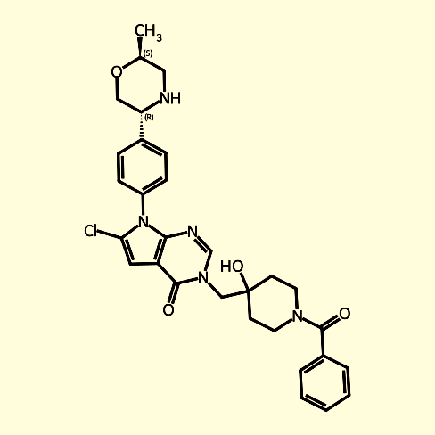 C[C@H]1CN[C@H](c2ccc(-n3c(Cl)cc4c(=O)n(CC5(O)CCN(C(=O)c6ccccc6)CC5)cnc43)cc2)CO1